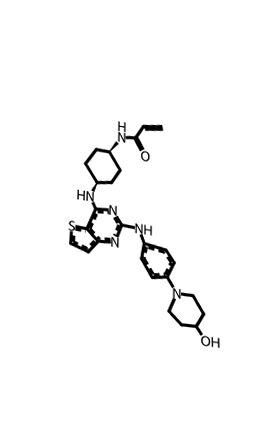 C=CC(=O)N[C@H]1CC[C@@H](Nc2nc(Nc3ccc(N4CCC(O)CC4)cc3)nc3ccsc23)CC1